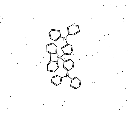 c1ccc(N(c2ccccc2)c2cccc([Si]3(c4cccc(N(c5ccccc5)c5ccccc5)c4)c4ccccc4-c4ccccc43)c2)cc1